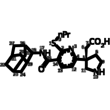 CCCSc1nc([C@]2(CC(=O)O)CCNC2)ccc1C(=O)NC1C2CC3CC(C2)CC1C3